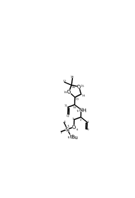 C=CC(CO[Si](C)(C)C(C)(C)C)NC(C=C)C1COC(C)(C)O1